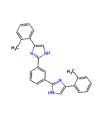 Cc1ccccc1-c1c[nH]c(-c2cccc(-c3nc(-c4ccccc4C)c[nH]3)c2)n1